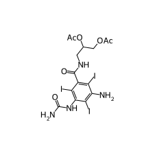 CC(=O)OCC(CNC(=O)c1c(I)c(N)c(I)c(NC(N)=O)c1I)OC(C)=O